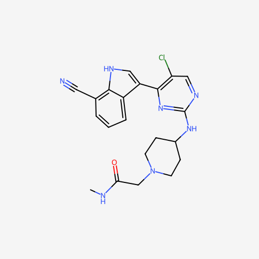 CNC(=O)CN1CCC(Nc2ncc(Cl)c(-c3c[nH]c4c(C#N)cccc34)n2)CC1